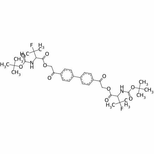 CC(C)(C)OC(=O)NC(C(=O)OCC(=O)c1ccc(-c2ccc(C(=O)COC(=O)C(NC(=O)OC(C)(C)C)C(C)(C)F)cc2)cc1)C(C)(C)F